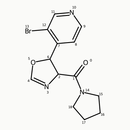 O=C(C1N=COC1c1ccncc1Br)N1CCCC1